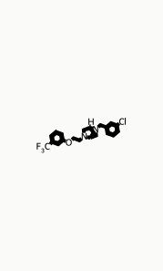 FC(F)(F)c1c[c]cc(OCCN2C[C@@H]3CC2CN3Cc2cccc(Cl)c2)c1